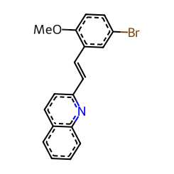 COc1ccc(Br)cc1/C=C/c1ccc2ccccc2n1